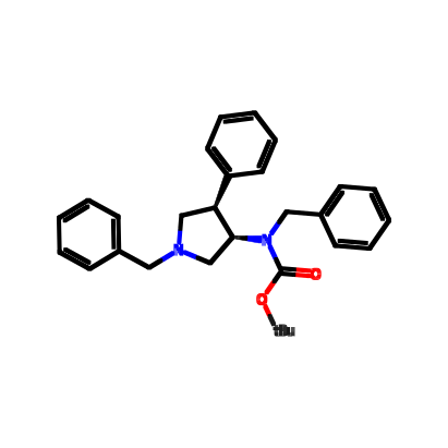 CC(C)(C)OC(=O)N(Cc1ccccc1)[C@H]1CN(Cc2ccccc2)C[C@H]1c1ccccc1